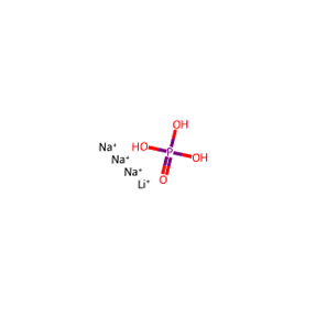 O=P(O)(O)O.[Li+].[Na+].[Na+].[Na+]